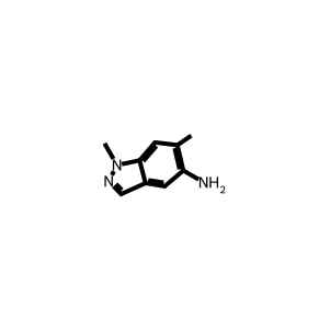 Cc1cc2c(cnn2C)cc1N